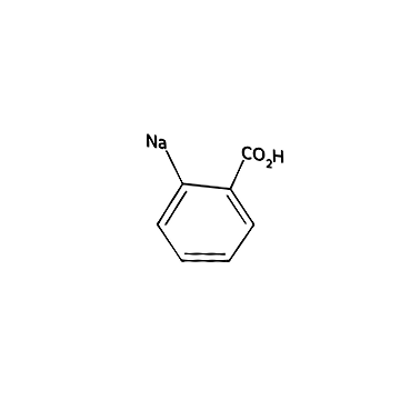 O=C(O)c1cccc[c]1[Na]